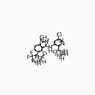 [2H]C([2H])([2H])NC(=O)c1nnc(Cl)cc1Nc1nn(C)c2ccc([C@H](OC([2H])([2H])[2H])C(F)(F)F)c(OC)c12